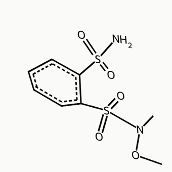 CON(C)S(=O)(=O)c1ccccc1S(N)(=O)=O